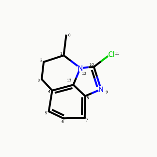 CC1CCc2cccc3nc(Cl)n1c23